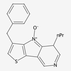 CCCC1C=NC=C2C1=[N+]([O-])c1c(Cc3ccccc3)csc12